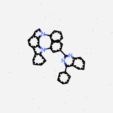 c1ccc(-c2nc(-c3cccc(-n4c5ccccc5c5ccc6ccn(-c7ccccc7)c6c54)c3)nc3ccccc23)cc1